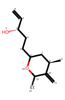 C=C[C@@H](O)CCC1C[C@@H](C)C(=C)C(CC)O1